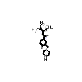 C=N/C(=C\C(F)=C1\C=C(CN2CCNCC2)C(F)=CC1)C(C)C